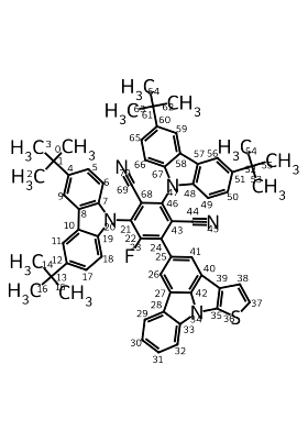 CC(C)(C)c1ccc2c(c1)c1cc(C(C)(C)C)ccc1n2-c1c(F)c(-c2cc3c4ccccc4n4c5sccc5c(c2)c34)c(C#N)c(-n2c3ccc(C(C)(C)C)cc3c3cc(C(C)(C)C)ccc32)c1C#N